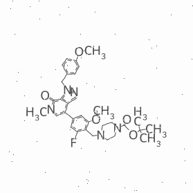 COc1ccc(Cn2ncc3c(-c4cc(F)c(CN5CCN(C(=O)OC(C)(C)C)CC5)c(OC)c4)cn(C)c(=O)c32)cc1